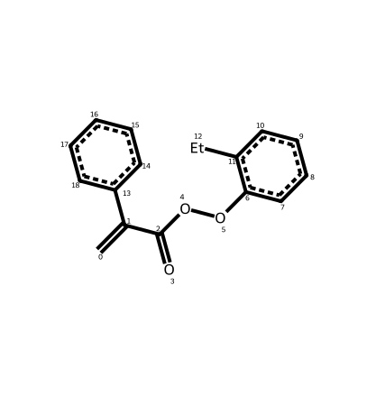 C=C(C(=O)OOc1ccccc1CC)c1ccccc1